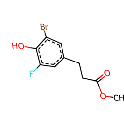 COC(=O)CCc1cc(F)c(O)c(Br)c1